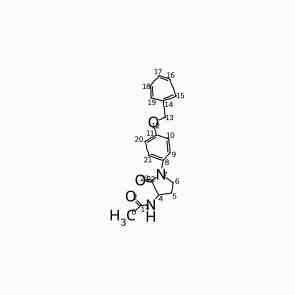 CC(=O)NC1CCN(c2ccc(OCc3ccccc3)cc2)C1=O